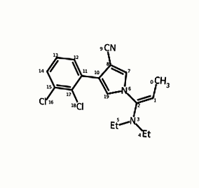 C/C=C(/N(CC)CC)n1cc(C#N)c(-c2cccc(Cl)c2Cl)c1